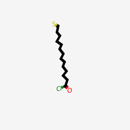 O=C(Cl)CCCCCCCCCCCCC=S